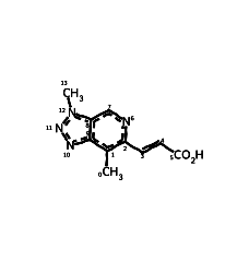 Cc1c(C=CC(=O)O)ncc2c1nnn2C